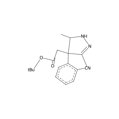 CC1=NNC(C)C1(CC(=O)OC(C)(C)C)c1ccccc1C#N